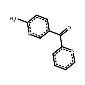 Cc1ccc(C(=O)c2ccccn2)cn1